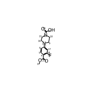 COC(=O)c1ccc(N2CCN(C(=O)O)CC2)cc1F